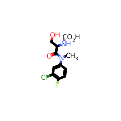 CN(C(=O)C(CO)NC(=O)O)c1ccc(F)c(Cl)c1